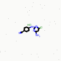 Cl.N#Cc1ccc(Nc2nc(N)cc(Cl)n2)cc1